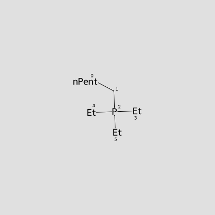 CCCCCC[P](CC)(CC)CC